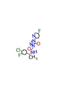 C[C@H](NC(=O)Cn1ncn(-c2ccc(F)cn2)c1=O)c1ccc(Cl)c(F)c1